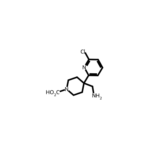 NCC1(c2cccc(Cl)n2)CCN(C(=O)O)CC1